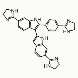 c1cc(-c2[nH]c3cc(C4=NCCN4)ccc3c2-c2cc3ccc(C4=NCCN4)cc3[nH]2)ccc1C1=NCCN1